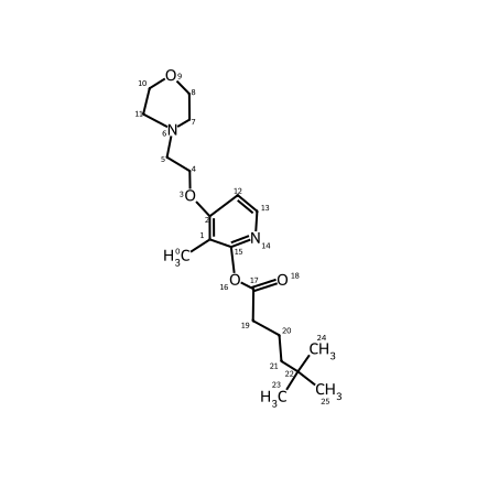 Cc1c(OCCN2CCOCC2)ccnc1OC(=O)CCCC(C)(C)C